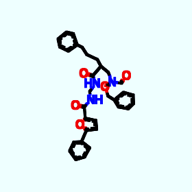 O=CN(CC(CCCc1ccccc1)C(=O)NCNC(=O)c1ccc(-c2ccccc2)o1)OCc1ccccc1